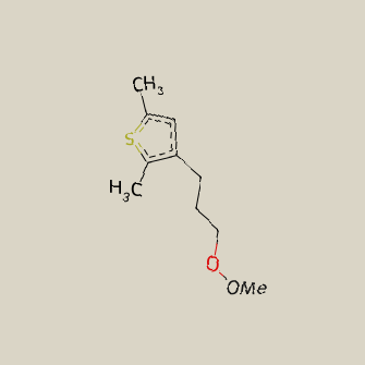 COOCCCc1cc(C)sc1C